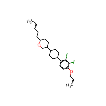 C=CCOc1ccc(C2CCC(C3CCC(CC/C=C/C)OC3)CC2)c(F)c1F